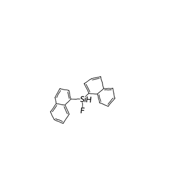 F[SiH](c1cccc2ccccc12)c1cccc2ccccc12